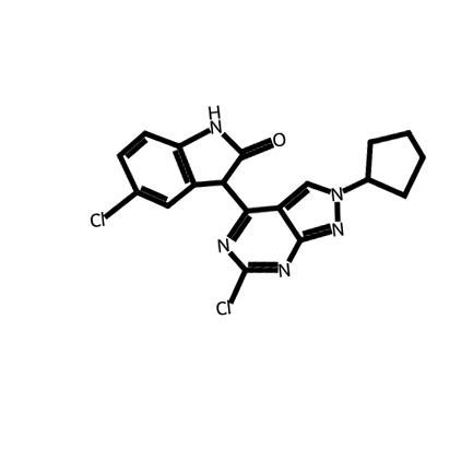 O=C1Nc2ccc(Cl)cc2C1c1nc(Cl)nc2nn(C3CCCC3)cc12